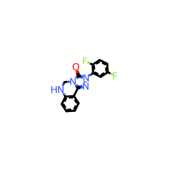 O=c1n(-c2cc(F)ccc2F)nc2n1CNc1ccccc1-2